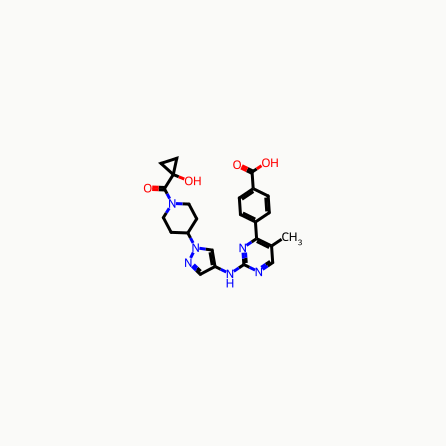 Cc1cnc(Nc2cnn(C3CCN(C(=O)C4(O)CC4)CC3)c2)nc1-c1ccc(C(=O)O)cc1